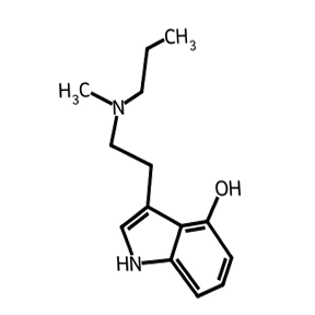 CCCN(C)CCc1c[nH]c2cccc(O)c12